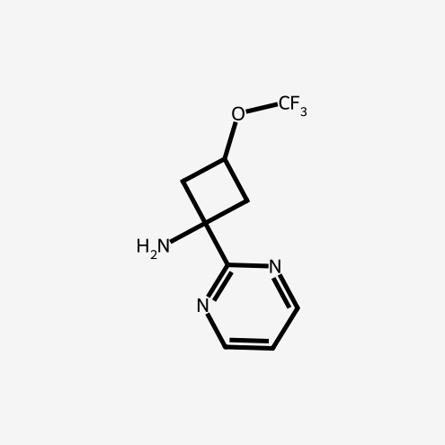 NC1(c2ncccn2)CC(OC(F)(F)F)C1